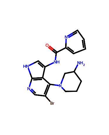 NC1CCCN(c2c(Br)cnc3[nH]cc(NC(=O)c4ccccn4)c23)C1